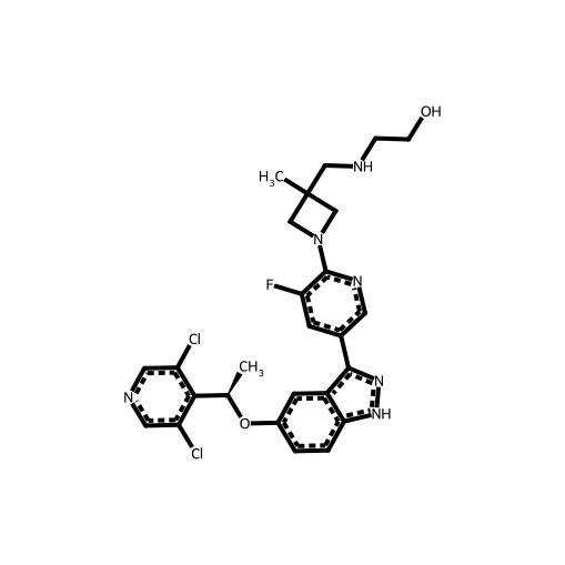 C[C@@H](Oc1ccc2[nH]nc(-c3cnc(N4CC(C)(CNCCO)C4)c(F)c3)c2c1)c1c(Cl)cncc1Cl